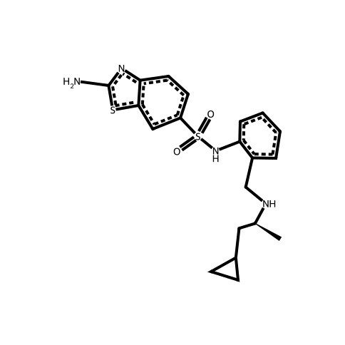 C[C@@H](CC1CC1)NCc1ccccc1NS(=O)(=O)c1ccc2nc(N)sc2c1